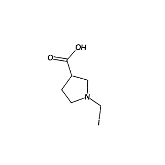 O=C(O)C1CCN(CI)C1